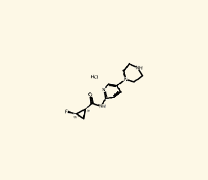 Cl.O=C(Nc1ccc(N2CCNCC2)cn1)[C@H]1C[C@H]1F